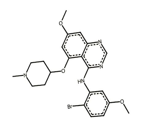 COc1ccc(Br)c(Nc2ncnc3cc(OC)cc(OC4CCN(C)CC4)c23)c1